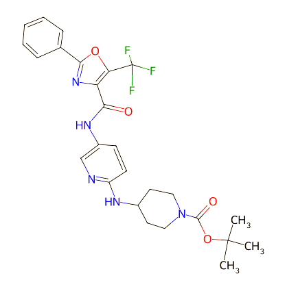 CC(C)(C)OC(=O)N1CCC(Nc2ccc(NC(=O)c3nc(-c4ccccc4)oc3C(F)(F)F)cn2)CC1